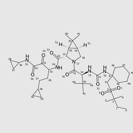 CCC(C)(C)S(=O)(=O)CC1(NC(=O)N[C@H](C(=O)N2C[C@H]3[C@@H]([C@H]2C(=O)NC(CCC2CC2)C(=O)C(=O)NC2CC2)C3(C)C)C(C)(C)C)CCCCC1